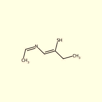 C/C=N\C=C(/S)CC